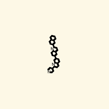 c1ccc2cc(-c3ccc4cc(-c5ccc6ccc(-c7ccncc7)nc6c5)ccc4n3)ccc2c1